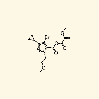 C=C(OC)C(=O)OC(=O)c1c(Br)c(C2CC2)nn1CCOC